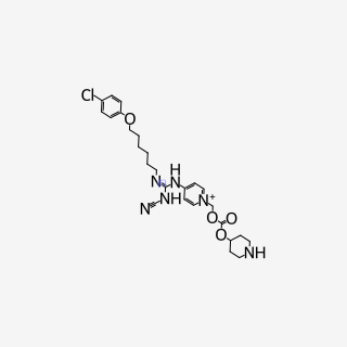 N#CN/C(=N/CCCCCCOc1ccc(Cl)cc1)Nc1cc[n+](COC(=O)OC2CCNCC2)cc1